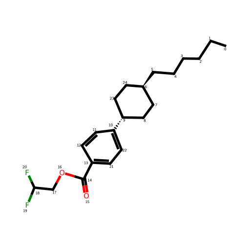 CCCCCC[C@H]1CC[C@H](c2ccc(C(=O)OCC(F)F)cc2)CC1